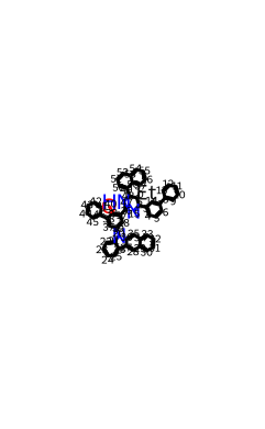 CC[C@H]1C(c2cccc(-c3ccccc3)c2)N=C(c2cc(-n3c4ccccc4c4cc5ccccc5cc43)cc3c2oc2ccccc23)NC1c1cccc2ccccc12